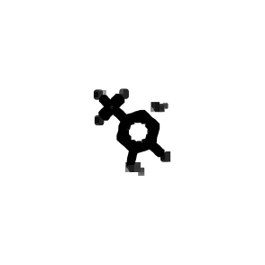 Nc1cc(S(=O)(=O)[O-])ccc1Cl.[Na+]